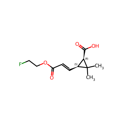 CC1(C)[C@H](C(=O)O)[C@@H]1C=CC(=O)OCCF